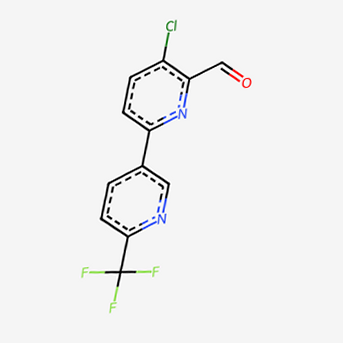 O=Cc1nc(-c2ccc(C(F)(F)F)nc2)ccc1Cl